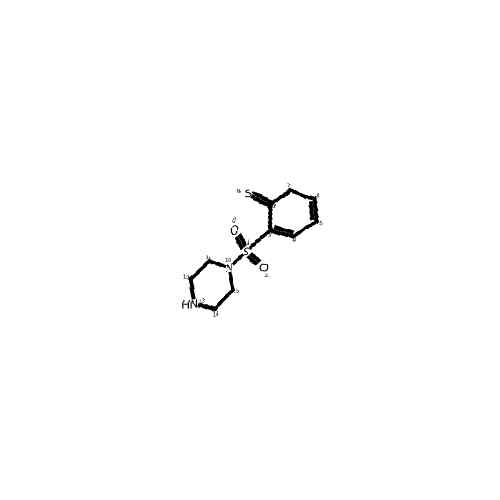 O=S(=O)(C1=CC=CCC1=S)N1CCNCC1